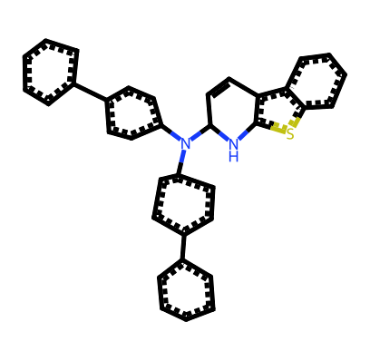 C1=CC(N(c2ccc(-c3ccccc3)cc2)c2ccc(-c3ccccc3)cc2)Nc2sc3ccccc3c21